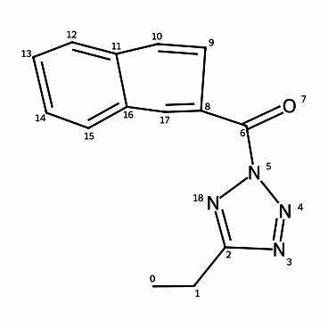 CCc1nnn(C(=O)c2ccc3ccccc3c2)n1